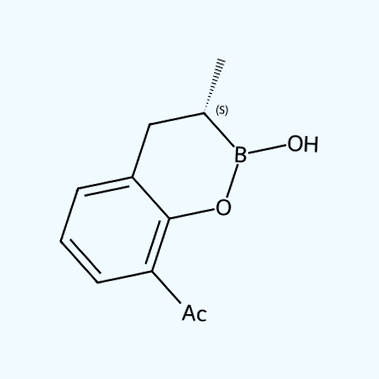 CC(=O)c1cccc2c1OB(O)[C@@H](C)C2